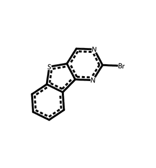 Brc1ncc2sc3ccccc3c2n1